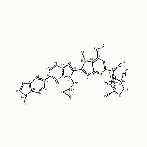 COc1cc(C(=O)N2C[C@H]3CC[C@@H]2[C@@H]3N)cc2nc(-c3cc4ccc(-c5ccc6c(ccn6C)c5)nc4n3CC3CC3)n(C)c12